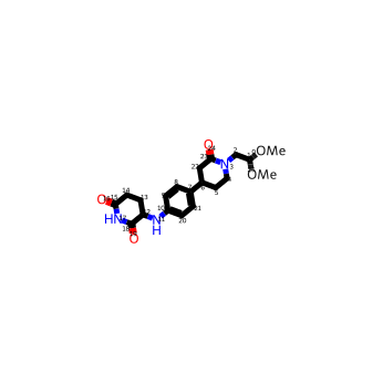 COC(CN1CCC(c2ccc(NC3CCC(=O)NC3=O)cc2)CC1=O)OC